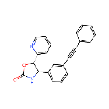 O=C1N[C@H](c2cccc(C#Cc3ccccc3)c2)[C@@H](c2ccccn2)O1